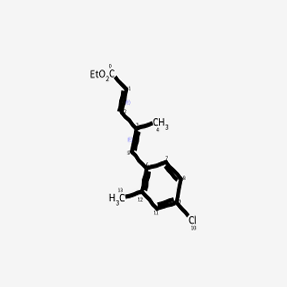 CCOC(=O)/C=C/C(C)=C/c1ccc(Cl)cc1C